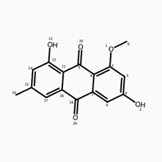 COc1cc(O)cc2c1C(=O)c1c(O)cc(C)cc1C2=O